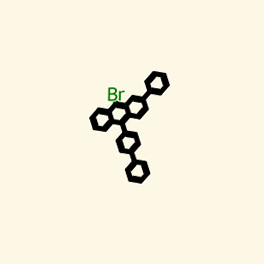 Brc1c2ccccc2c(-c2ccc(-c3ccccc3)cc2)c2ccc(-c3ccccc3)cc12